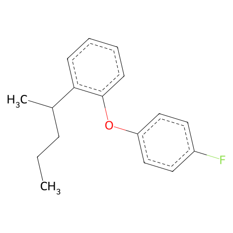 CCCC(C)c1ccccc1Oc1ccc(F)cc1